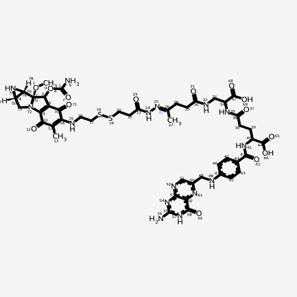 CO[C@@]12C(OC(N)=O)C3=C(C(=O)C(C)=C(NCCSSCCC(=O)N/N=C(\C)CCC(=O)NCC(NC(=O)CCC(NC(=O)c4ccc(NCc5cnc6nc(N)[nH]c(=O)c6n5)cc4)C(=O)O)C(=O)O)C3=O)N1C[C@@H]1N[C@@H]12